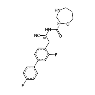 N#C[C@H](Cc1ccc(-c2ccc(F)cc2)cc1F)NC(=O)[C@@H]1CNCCCO1